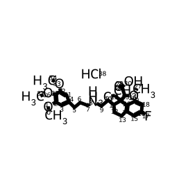 COc1cc(CCCNCCC2CCc3cc(F)ccc3C2(C(C)C)C(OC)C(=O)O)cc(OC)c1OC.Cl